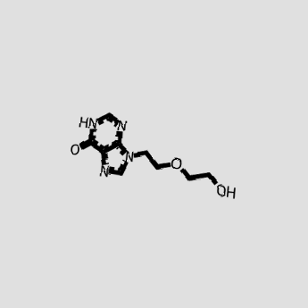 O=c1[nH]cnc2c1ncn2CCOCCO